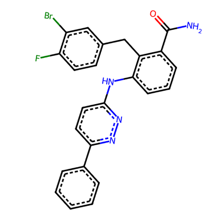 NC(=O)c1cccc(Nc2ccc(-c3ccccc3)nn2)c1Cc1ccc(F)c(Br)c1